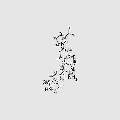 CC(C)[C@H]1CN(c2ccc(-c3cc(-c4ccc5c(c4)CCNC5=O)c(N)nc3F)c(F)c2)CCO1